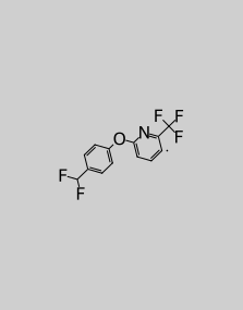 FC(F)c1ccc(Oc2cc[c]c(C(F)(F)F)n2)cc1